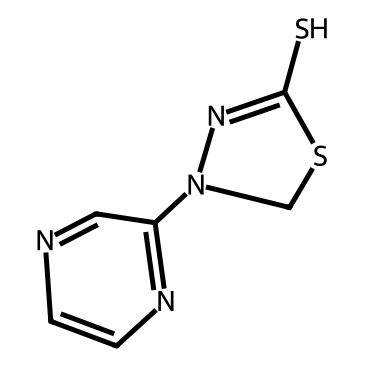 SC1=NN(c2cnccn2)CS1